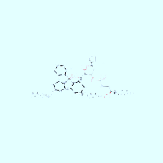 CNC(=O)CCC(=O)OC1C[C@H](C)O[C@@H]1COC(c1ccccc1)(c1ccc(OC)cc1)c1ccc(OC)cc1